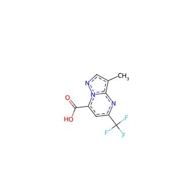 Cc1cnn2c(C(=O)O)cc(C(F)(F)F)nc12